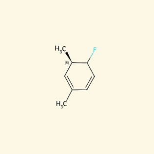 CC1=C[C@@H](C)C(F)C=C1